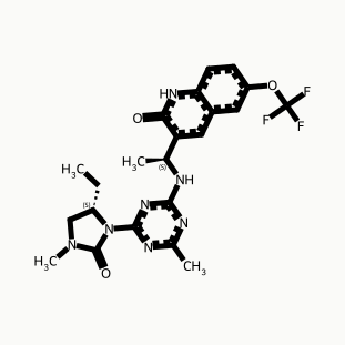 CC[C@H]1CN(C)C(=O)N1c1nc(C)nc(N[C@@H](C)c2cc3cc(OC(F)(F)F)ccc3[nH]c2=O)n1